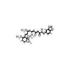 CC1=C(/C=C/C(C)=C\C=C\C(C)=C\C(=O)NCc2ccc3c(c2)OCO3)C(C)(C)CCC1